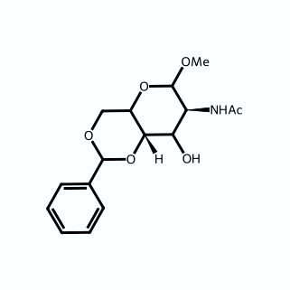 COC1OC2COC(c3ccccc3)O[C@H]2C(O)[C@@H]1NC(C)=O